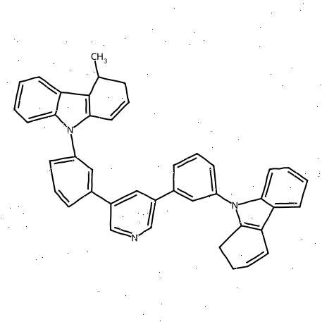 CC1CC=Cc2c1c1ccccc1n2-c1cccc(-c2cncc(-c3cccc(-n4c5c(c6ccccc64)C=CCC5)c3)c2)c1